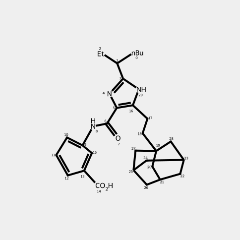 CCCCC(CC)c1nc(C(=O)Nc2cccc(C(=O)O)c2)c(CCC23CC4CC(CC(C4)C2)C3)[nH]1